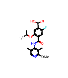 COc1ncc(C)c(NC(=O)c2cc(F)c(B(O)O)cc2OC(C)C(F)(F)F)c1C